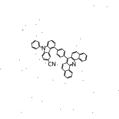 N#Cc1ccc2c(c1)c1c(-c3ccc(-c4c5ccc6ccccc6c5nc5c4ccc4ccccc45)cc3)cccc1n2-c1ccccc1